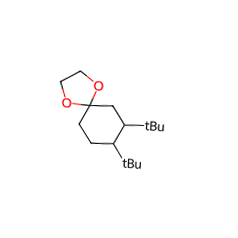 CC(C)(C)C1CCC2(CC1C(C)(C)C)OCCO2